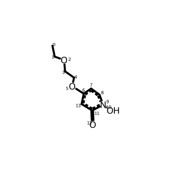 CCOCCOc1ccn(O)c(=O)c1